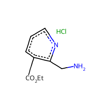 CCOC(=O)c1cccnc1CN.Cl